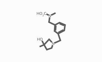 CN(Cc1cccc(CN2CCC(C)(O)C2)c1)C(=O)O